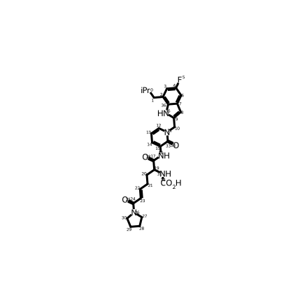 CC(C)Cc1cc(F)cc2cc(Cn3cccc(NC(=O)C(CC/C=C/C(=O)N4CCCC4)NC(=O)O)c3=O)[nH]c12